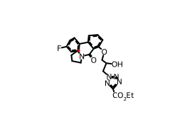 CCOC(=O)c1nnn(CC(O)COc2cccc(-c3ccc(F)cc3)c2C(=O)N2CCCC2)n1